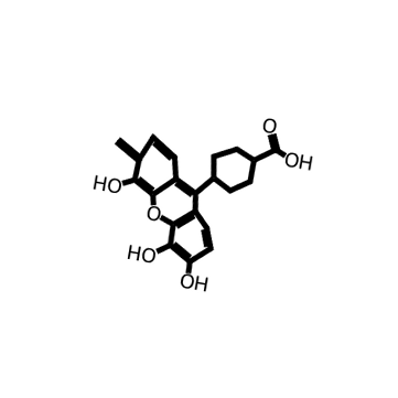 C=c1ccc2c(c1O)Oc1c(ccc(O)c1O)C=2C1CCC(C(=O)O)CC1